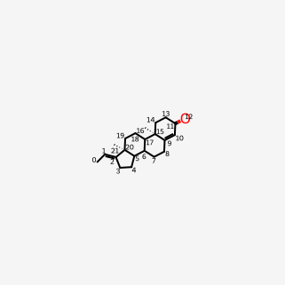 C/C=C1\CCC2C3CCC4=CC(=O)CC[C@]4(C)C3CC[C@]12C